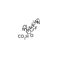 CC1(n2cccn2)CN(c2nc3c(cc2F)c(=O)c(C(=O)O)cn3-c2nccs2)C1